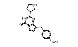 COc1ccc(Cn2ccc3c(=O)[nH]c(C4CCNC4)nc32)cc1